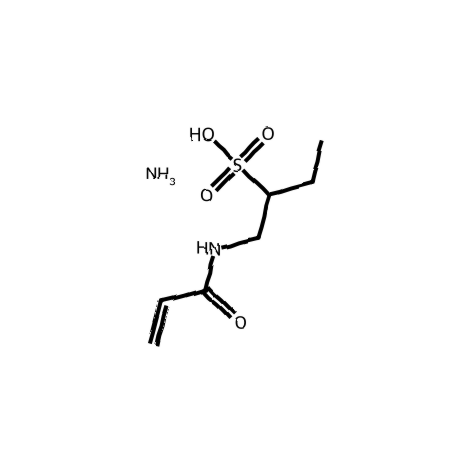 C=CC(=O)NCC(CC)S(=O)(=O)O.N